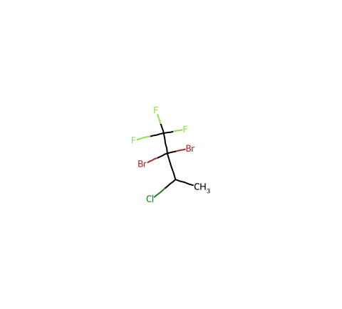 CC(Cl)C(Br)(Br)C(F)(F)F